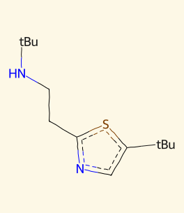 CC(C)(C)NCCc1ncc(C(C)(C)C)s1